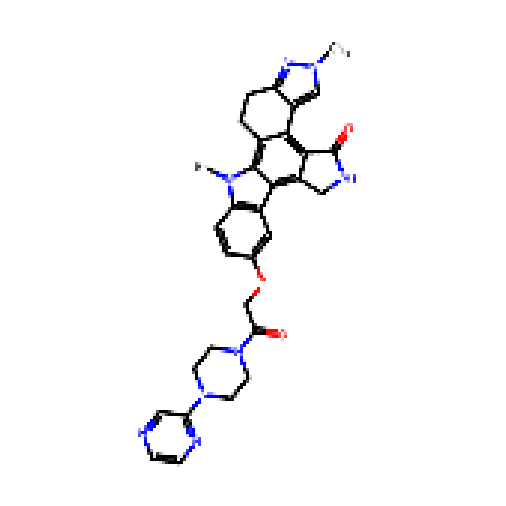 CCn1c2ccc(OCC(=O)N3CCN(c4cnccn4)CC3)cc2c2c3c(c4c(c21)CCc1nn(C)cc1-4)C(=O)NC3